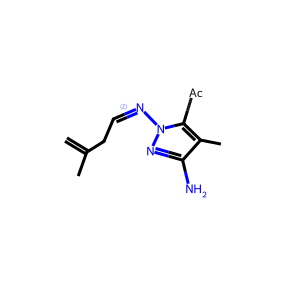 C=C(C)C/C=N\n1nc(N)c(C)c1C(C)=O